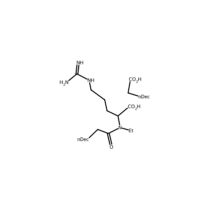 CCCCCCCCCCCC(=O)N(CC)C(CCCNC(=N)N)C(=O)O.CCCCCCCCCCCC(=O)O